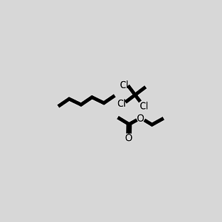 CC(Cl)(Cl)Cl.CCCCCC.CCOC(C)=O